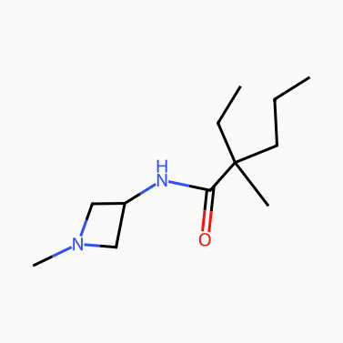 CCCC(C)(CC)C(=O)NC1CN(C)C1